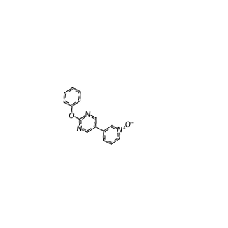 [O-][n+]1cccc(-c2cnc(Oc3ccccc3)nc2)c1